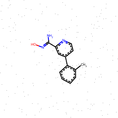 Cc1ccccc1-c1ccnc(C(N)=NO)c1